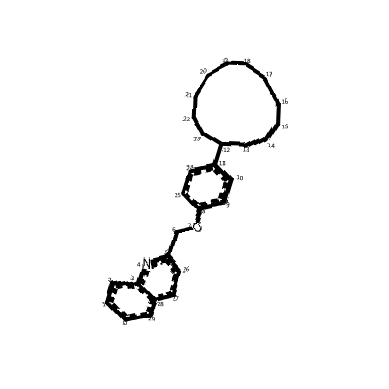 c1ccc2nc(COc3ccc(C4CCCCCCCCCCC4)cc3)ccc2c1